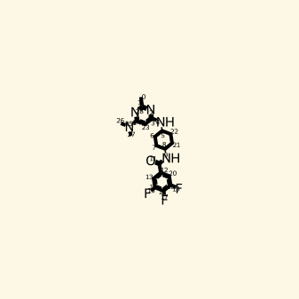 Cc1nc(N[C@H]2CC[C@@H](NC(=O)c3cc(F)c(F)c(F)c3)CC2)cc(N(C)C)n1